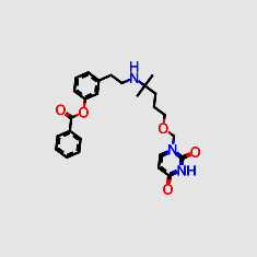 CC(C)(CCCOCn1ccc(=O)[nH]c1=O)NCCc1cccc(OC(=O)c2ccccc2)c1